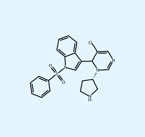 O=S(=O)(c1ccccc1)n1cc(C2C(Cl)=CN=CN2[C@H]2CCNC2)c2ccccc21